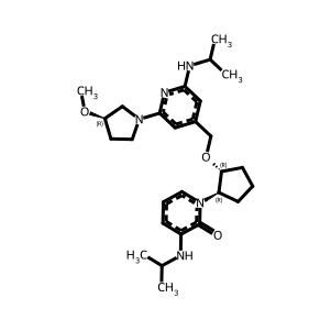 CO[C@@H]1CCN(c2cc(CO[C@@H]3CCC[C@H]3n3cccc(NC(C)C)c3=O)cc(NC(C)C)n2)C1